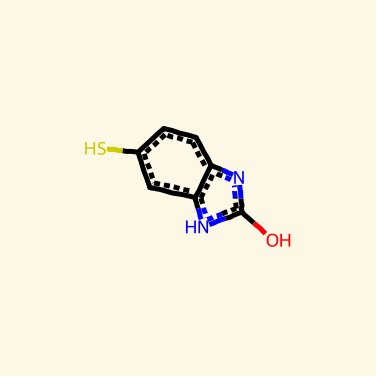 Oc1nc2ccc(S)cc2[nH]1